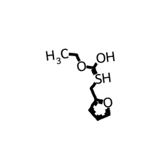 CCOC(O)=[SH]Cc1ccco1